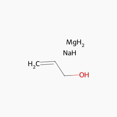 C=CCO.[MgH2].[NaH]